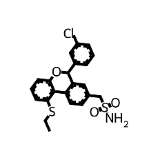 CCSc1cccc2c1-c1ccc(CS(N)(=O)=O)cc1C(c1cccc(Cl)c1)O2